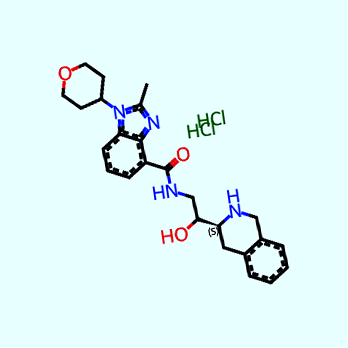 Cc1nc2c(C(=O)NCC(O)[C@@H]3Cc4ccccc4CN3)cccc2n1C1CCOCC1.Cl.Cl